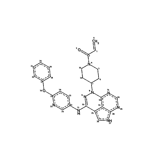 C=CC(=O)N1CCC(N2N=C(Nc3ccc(Oc4ccccc4)nc3)c3c[nH]c4ncnc2c34)CC1